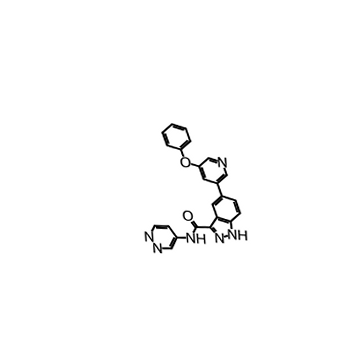 O=C(Nc1ccnnc1)c1n[nH]c2ccc(-c3cncc(Oc4ccccc4)c3)cc12